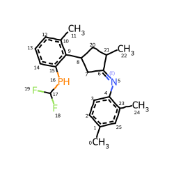 Cc1ccc(/N=C2\CC(c3c(C)cccc3PC(F)F)CC2C)c(C)c1